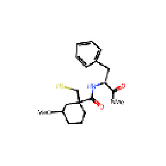 CNC(=O)[C@H](Cc1ccccc1)NC(=O)C1(CS)CCCC(OC)C1